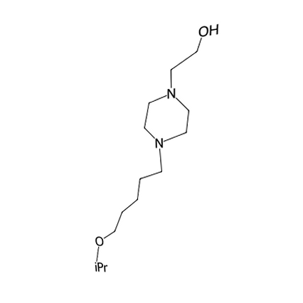 CC(C)OCCCCCN1CCN(CCO)CC1